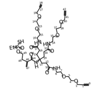 C#CCOCCOCCNC(=O)CCC(CCC(=O)NCCOCCOCC#C)(CCC(=O)NCCOCCOCC#C)NC(=O)C(=C)CCOP(=O)(S)CC